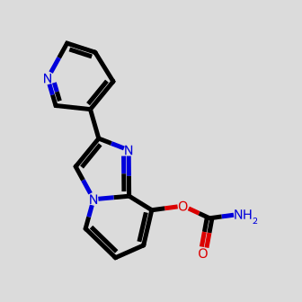 NC(=O)Oc1cccn2cc(-c3cccnc3)nc12